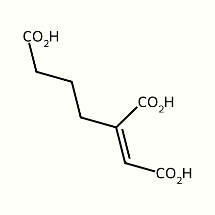 O=C(O)/C=C(/CCCC(=O)O)C(=O)O